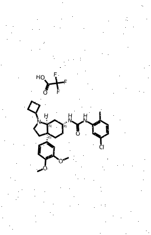 COc1ccc([C@@]23CC[C@@H](NC(=O)Nc4cc(Cl)ccc4C)C[C@@H]2N(C2CCC2)CC3)cc1OC.O=C(O)C(F)(F)F